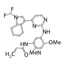 C=CC(=O)Nc1cc(Nc2nccc(-c3cn(C(F)F)c4ccccc34)n2)c(OC)cc1NC